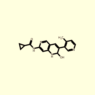 Cc1ccncc1C1=Cc2cnc(NC(=O)C3CC3)cc2NC1O